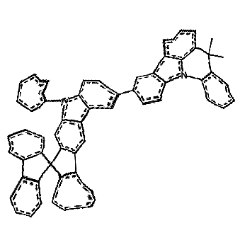 CC1(C)c2ccccc2-n2c3ccc(-c4ccc5c(c4)c4cc6c(cc4n5-c4ccccc4)C4(c5ccccc5-c5ccccc54)c4ccccc4-6)cc3c3cccc1c32